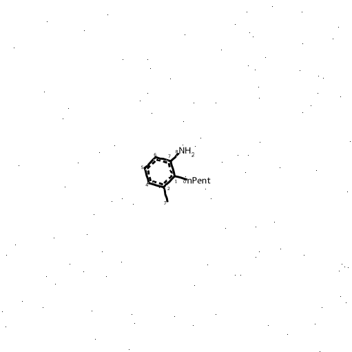 CCCCCc1c(C)cccc1N